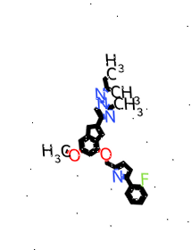 CC/C(C)=N/n1cc(C2=Cc3c(cc(OC)cc3OCC3=CCC(c4ccccc4F)=N3)C2)nc1C